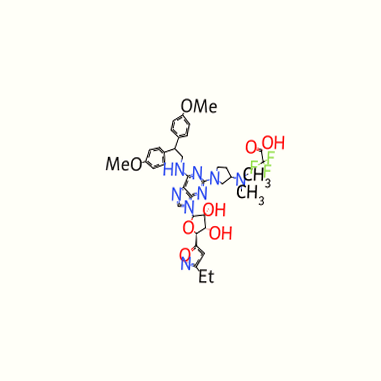 CCc1cc([C@H]2O[C@@H](n3cnc4c(NCC(c5ccc(OC)cc5)c5ccc(OC)cc5)nc(N5CC[C@@H](N(C)C)C5)nc43)[C@H](O)[C@@H]2O)on1.O=C(O)C(F)(F)F